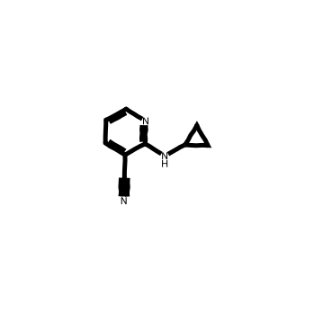 N#Cc1cccnc1NC1CC1